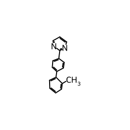 Cc1ccccc1-c1ccc(-c2ncccn2)cc1